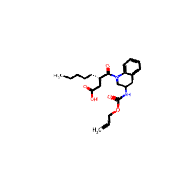 C=CCOC(=O)NC1Cc2ccccc2N(C(=O)[C@@H](CCCCC)CC(=O)O)C1